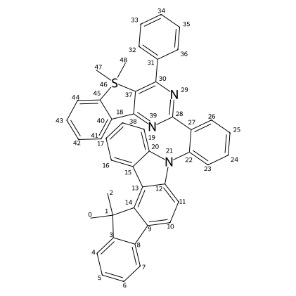 CC1(C)c2ccccc2-c2ccc3c(c21)c1ccccc1n3-c1ccccc1-c1nc(-c2ccccc2)c2c(n1)-c1ccccc1S2(C)C